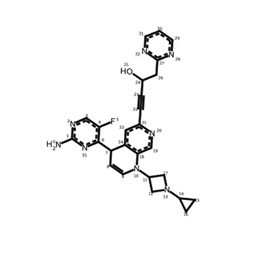 Nc1ncc(F)c(C2C=CN(C3CN(C4CC4)C3)c3cnc(C#CC(O)Cc4ncccn4)cc32)n1